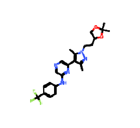 Cc1nn(CCC2COC(C)(C)O2)c(C)c1-c1cncc(Nc2ccc(C(F)(F)F)cc2)n1